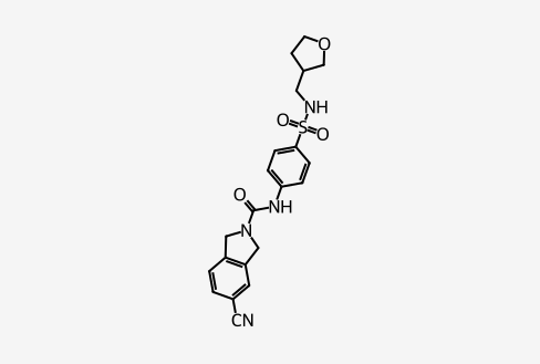 N#Cc1ccc2c(c1)CN(C(=O)Nc1ccc(S(=O)(=O)NCC3CCOC3)cc1)C2